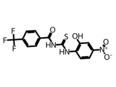 O=C(NC(=S)Nc1ccc([N+](=O)[O-])cc1O)c1ccc(C(F)(F)F)cc1